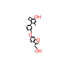 Cc1cc(O)c2c(c1-c1cccc(COc3ccc4c(c3)OC[C@H]4CCO)c1)CC2